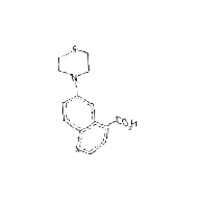 O=C(O)c1ccnc2ccc(N3CCSCC3)cc12